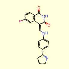 O=C1NC(=O)c2ccc(I)cc2C1=CNc1ccc(C2=NCCC2)cc1